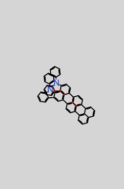 c1ccc(-n2c3ccccc3c3cc(-c4ccc(-c5cccc6cccc(-c7ccc(-c8ccc9c(c8)c8ccccc8n9-c8ccccc8)cc7)c56)cc4)ccc32)cc1